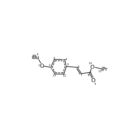 CCC(C)Oc1ccc(C=CC(=O)OC(C)C)cc1